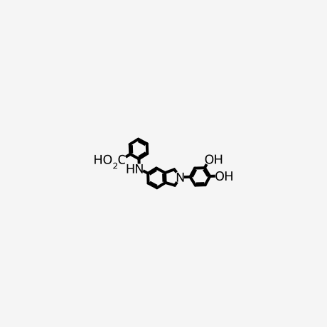 O=C(O)c1ccccc1Nc1ccc2c(c1)CN(c1ccc(O)c(O)c1)C2